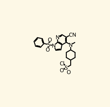 CN(c1c(C#N)cnc2c1ccn2S(=O)(=O)c1ccccc1)C1CCC(CS(=O)(=O)Cl)CC1